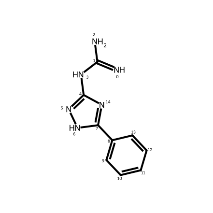 N=C(N)Nc1n[nH]c(-c2ccccc2)n1